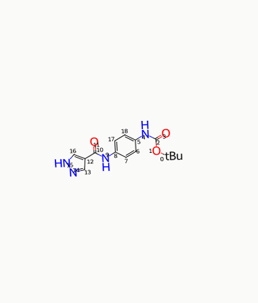 CC(C)(C)OC(=O)Nc1ccc(NC(=O)c2cn[nH]c2)cc1